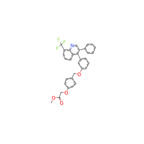 COC(=O)COc1ccc(COc2cccc(-c3c(-c4ccccc4)cnc4c(C(F)(F)F)cccc34)c2)cc1